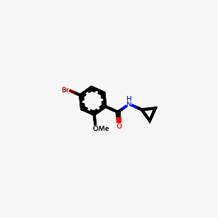 COc1cc(Br)ccc1C(=O)NC1CC1